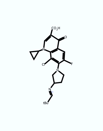 CC(C)(C)/C=N/C1CCN(c2c(F)cc3c(=O)c(C(=O)O)cn(C4CC4)c3c2Cl)C1